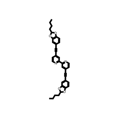 CCCCC1Oc2ccc(C#Cc3ccnc(-c4cc(C#Cc5ccc6c(c5)OC(CCCC)O6)ccn4)c3)cc2O1